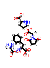 C[C@@H](C(=O)O)N1C(=O)CCC1=O.C[C@H](N)C(=O)O.N[C@@H](Cc1ccccc1)C(=O)O.O=C(O)[C@@H]1CCCN1